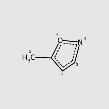 Cc1[c][c]no1